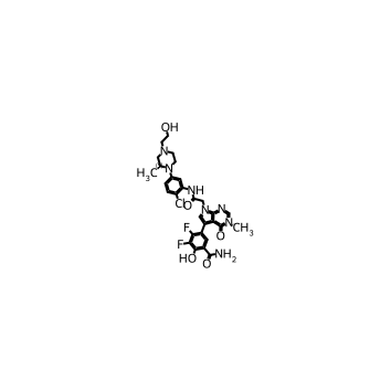 C[C@H]1CN(CCO)CCN1c1ccc(Cl)c(NC(=O)Cn2cc(-c3cc(C(N)=O)c(O)c(F)c3F)c3c(=O)n(C)cnc32)c1